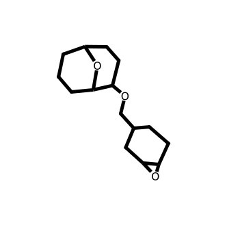 C1CC2CCC(OCC3CCC4OC4C3)C(C1)O2